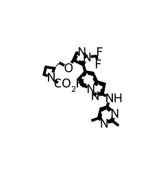 Cc1cc(Nc2cc3cc(-c4c(OC[C@H]5CCN5C(=O)O)cnn4C(F)F)ccn3n2)nc(C)n1